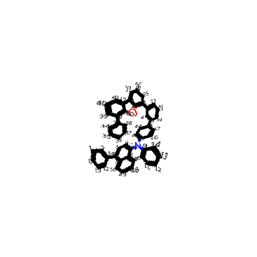 c1ccc(-c2ccc(N(c3ccccc3)c3ccc(-c4cccc(-c5cccc6c5oc5c(-c7ccccc7)cccc56)c4)cc3)c3ccccc23)cc1